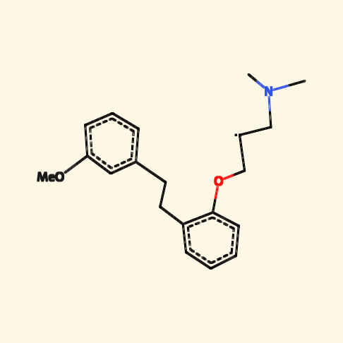 COc1cccc(CCc2ccccc2OC[CH]CN(C)C)c1